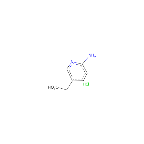 Cl.Nc1ccc(CC(=O)O)cn1